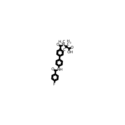 CN(C(=O)c1ccc(-c2ccc(NC(=O)c3ccc(F)cc3)cc2)cc1)C(C)(C)C(=O)O